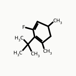 CC1=C(C(C)(C)C)C(F)=CC(C)C1